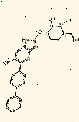 OC[C@H]1CC[C@H](Oc2nc3nc(-c4ccc(-c5ccccc5)cc4)c(Cl)cc3[nH]2)[C@@H](O)[C@@H]1O